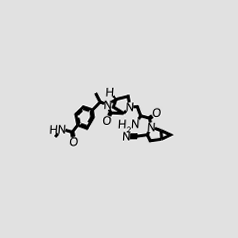 CNC(=O)c1ccc(C(C)N2C(=O)C3C[C@H]2CN3CC(N)C(=O)N2C(C#N)CC3CC32)cc1